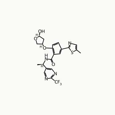 Cc1cnc(-c2ccc(O[C@H]3CO[C@@H](O)C3)c(C(=O)N[C@H](C)c3cnc(C(F)(F)F)nc3)c2)s1